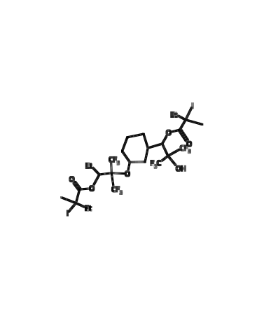 CCC(OC(=O)C(C)(I)CC)C(OC1CCCC(C(OC(=O)C(C)(I)CC)C(O)(C(F)(F)F)C(F)(F)F)C1)(C(F)(F)F)C(F)(F)F